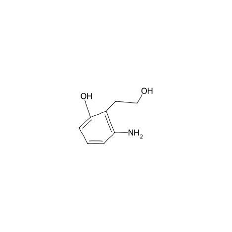 Nc1cccc(O)c1CCO